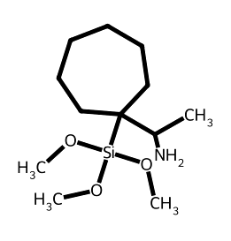 CO[Si](OC)(OC)C1(C(C)N)CCCCCC1